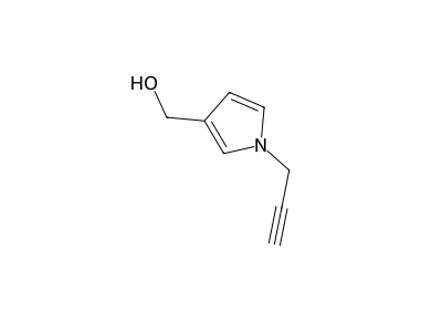 C#CCn1ccc(CO)c1